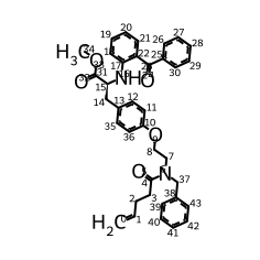 C=CCCC(=O)N(CCOc1ccc(C[C@H](Nc2ccccc2C(=O)c2ccccc2)C(=O)OC)cc1)Cc1ccccc1